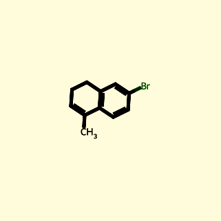 CC1=CCCc2cc(Br)ccc21